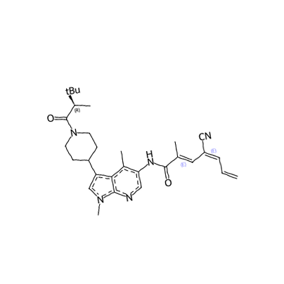 C=C/C=C(C#N)\C=C(/C)C(=O)Nc1cnc2c(c(C3CCN(C(=O)[C@H](C)C(C)(C)C)CC3)cn2C)c1C